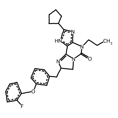 CCCN1C(=O)N2CC(Cc3cccc(Oc4ccccc4F)c3)N=C2c2[nH]c(C3CCCC3)nc21